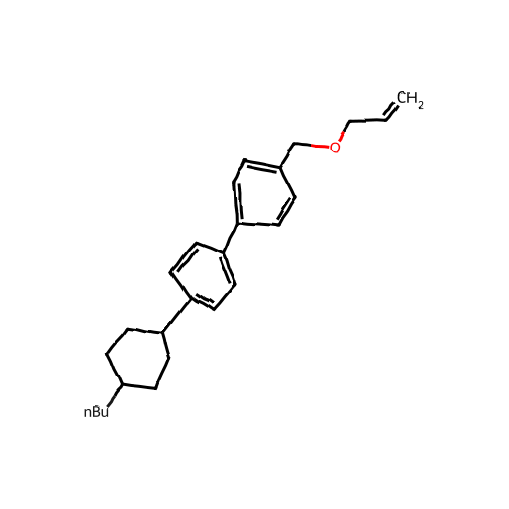 C=CCOCc1ccc(-c2ccc(C3CCC(CCCC)CC3)cc2)cc1